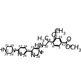 COC(=O)c1ccc(C(C)CNc2cc(-c3ccc(N4CCNCC4)nc3)ncn2)c(OC)c1